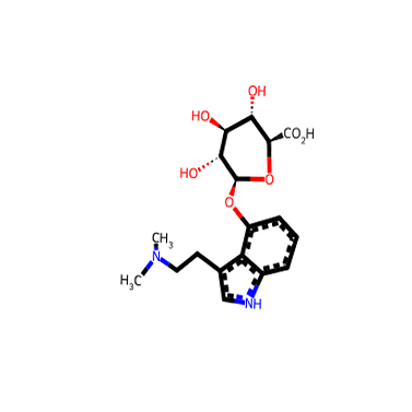 CN(C)CCc1c[nH]c2cccc(O[C@@H]3O[C@H](C(=O)O)[C@@H](O)[C@H](O)[C@H]3O)c12